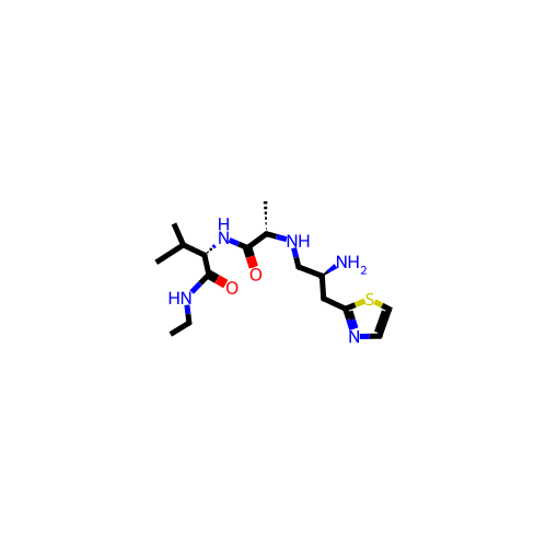 CCNC(=O)[C@@H](NC(=O)[C@H](C)NC[C@@H](N)Cc1nccs1)C(C)C